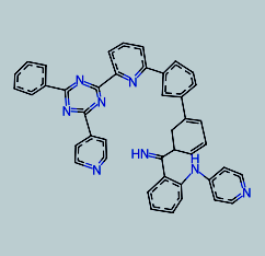 N=C(c1ccccc1Nc1ccncc1)C1C=CC=C(c2cccc(-c3cccc(-c4nc(-c5ccccc5)nc(-c5ccncc5)n4)n3)c2)C1